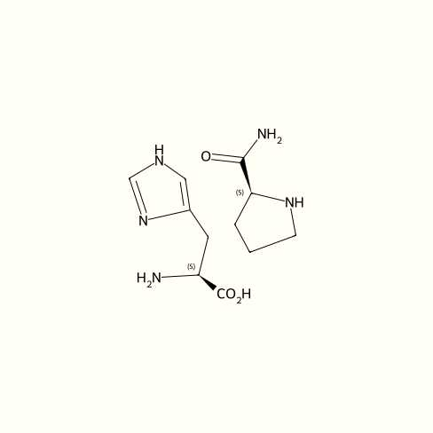 NC(=O)[C@@H]1CCCN1.N[C@@H](Cc1c[nH]cn1)C(=O)O